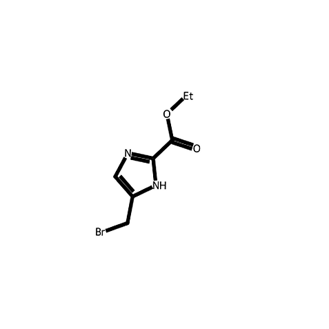 CCOC(=O)c1ncc(CBr)[nH]1